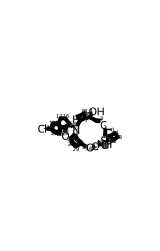 C[C@@H]1C/C=C/[C@H](O)[C@@H]2CC[C@H]2CN2C[C@@]3(CCCc4cc(Cl)ccc43)COc3ccc(cc32)COCNS(=O)(=O)[C@H]1C1CCC1